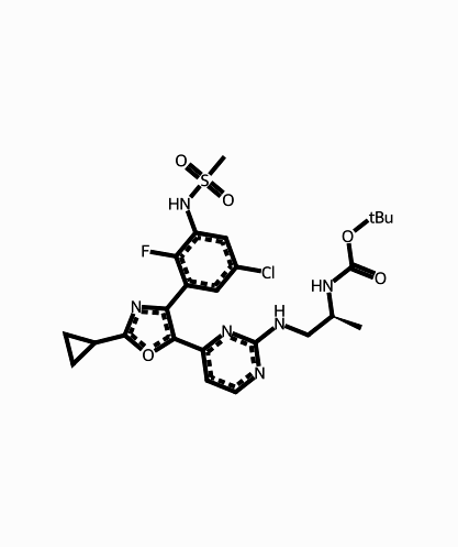 C[C@@H](CNc1nccc(-c2oc(C3CC3)nc2-c2cc(Cl)cc(NS(C)(=O)=O)c2F)n1)NC(=O)OC(C)(C)C